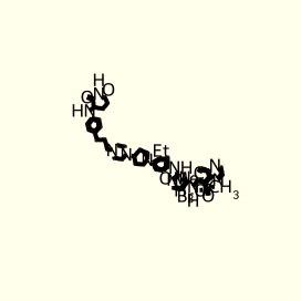 CCc1cc(Nc2ncc(Br)c(Nc3ccc4nccnc4c3P(C)(C)=O)n2)c(OC)cc1N1CCC(N2CCN(CCCc3ccc(NC4CCC(=O)NC4=O)cc3)CC2)CC1